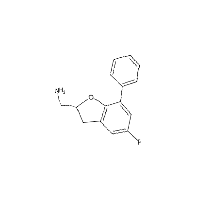 NCC1Cc2cc(F)cc(-c3ccccc3)c2O1